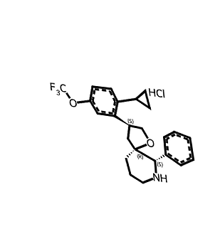 Cl.FC(F)(F)Oc1ccc(C2CC2)c([C@H]2CO[C@]3(CCCN[C@H]3c3ccccc3)C2)c1